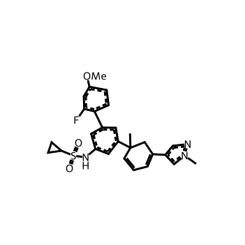 COc1ccc(-c2cc(NS(=O)(=O)C3CC3)cc(C3(C)C=CC=C(c4cnn(C)c4)C3)c2)c(F)c1